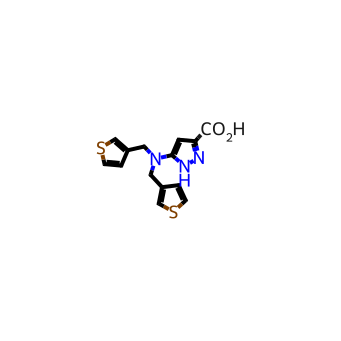 O=C(O)c1cc(N(Cc2ccsc2)Cc2ccsc2)[nH]n1